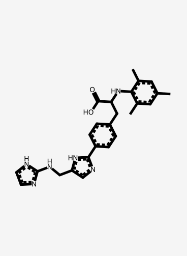 Cc1cc(C)c(NC(Cc2ccc(-c3ncc(CNc4ncc[nH]4)[nH]3)cc2)C(=O)O)c(C)c1